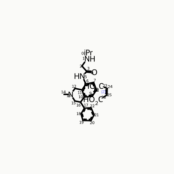 CC(C)NCC(=O)Nc1cccc2c1CN(C)CC2c1ccccc1.O=C(O)/C=C\C(=O)O